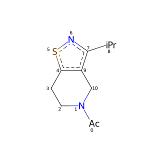 CC(=O)N1CCc2snc(C(C)C)c2C1